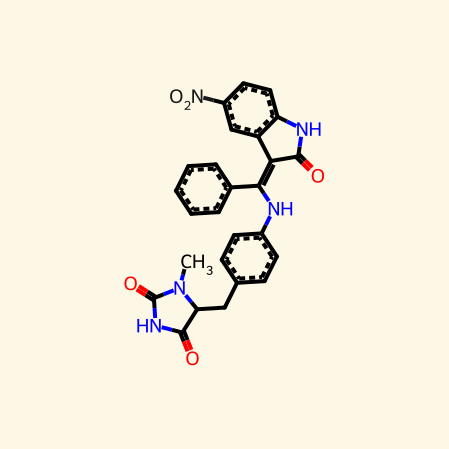 CN1C(=O)NC(=O)C1Cc1ccc(N/C(=C2\C(=O)Nc3ccc([N+](=O)[O-])cc32)c2ccccc2)cc1